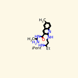 CCCC(C)NC(CC)CCNc1nc2ccc(C)cc2cc1C(=O)NC(C)N